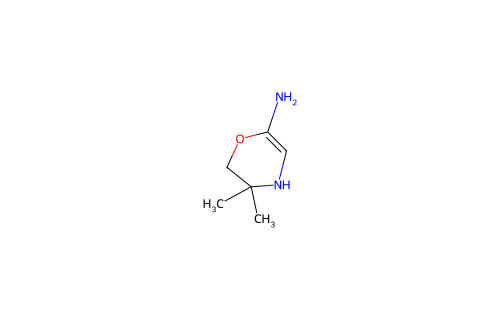 CC1(C)COC(N)=CN1